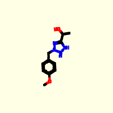 COc1ccc(CN2N=C(C(C)O)NN2)cc1